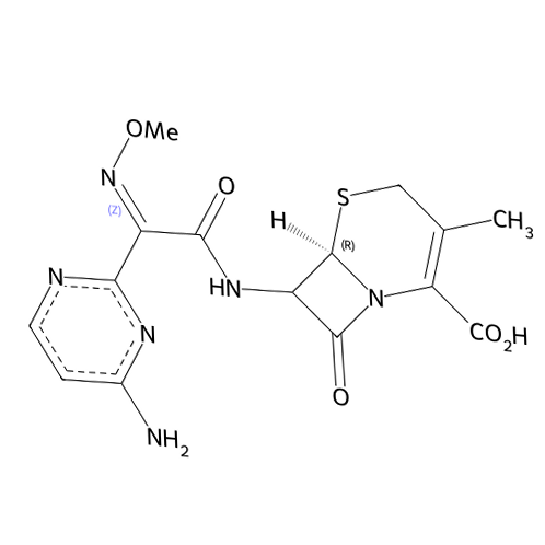 CO/N=C(\C(=O)NC1C(=O)N2C(C(=O)O)=C(C)CS[C@H]12)c1nccc(N)n1